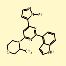 CCn1nccc1-c1cc(N2CCOCC2C)nc(-c2cccc3[nH]ccc23)n1